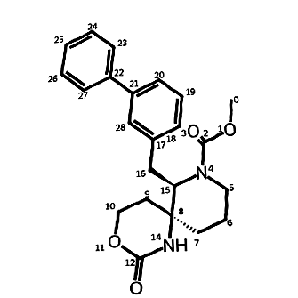 COC(=O)N1CCC[C@]2(CCOC(=O)N2)[C@H]1Cc1cccc(-c2ccccc2)c1